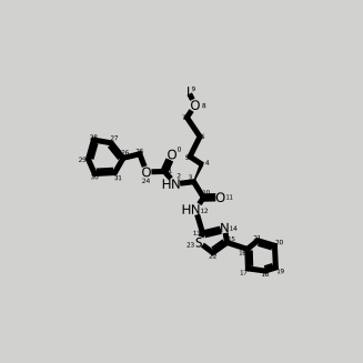 O=C(N[C@@H](CCCCOI)C(=O)Nc1nc(-c2ccccc2)cs1)OCc1ccccc1